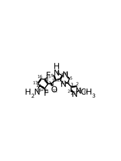 Cn1cc(-c2cnc3[nH]cc(C(=O)c4c(F)ccc(N)c4F)c3n2)cn1